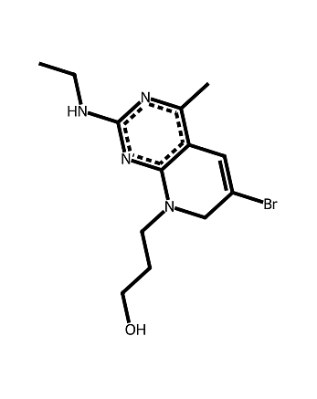 CCNc1nc(C)c2c(n1)N(CCCO)CC(Br)=C2